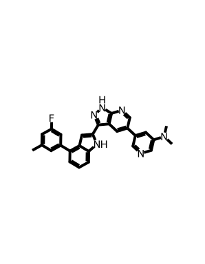 Cc1cc(F)cc(-c2cccc3[nH]c(-c4n[nH]c5ncc(-c6cncc(N(C)C)c6)cc45)cc23)c1